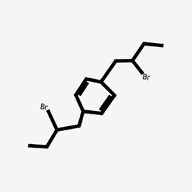 CCC(Br)CC1C=CC(CC(Br)CC)C=C1